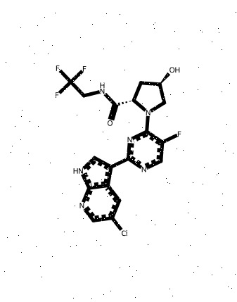 O=C(NCC(F)(F)F)[C@@H]1C[C@@H](O)CN1c1nc(-c2c[nH]c3ncc(Cl)cc23)ncc1F